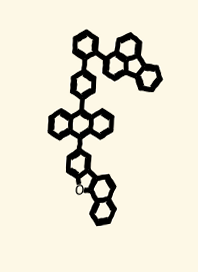 c1ccc(-c2ccc3c4c(cccc24)-c2ccccc2-3)c(-c2ccc(-c3c4ccccc4c(-c4ccc5oc6c7ccccc7ccc6c5c4)c4ccccc34)cc2)c1